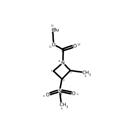 CC1C(S(C)(=O)=O)CN1C(=O)OC(C)(C)C